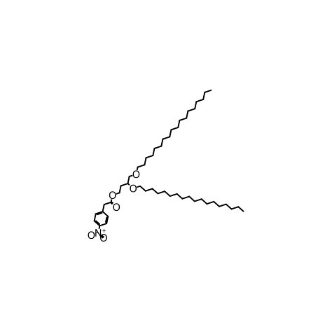 CCCCCCCCCCCCCCCCCCOCC(CCOC(=O)Cc1ccc([N+](=O)[O-])cc1)OCCCCCCCCCCCCCCCCCC